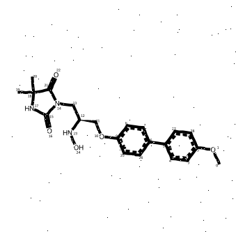 COc1ccc(-c2ccc(OC[C@H](CN3C(=O)NC(C)(C)C3=O)NO)cc2)cc1